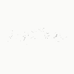 Cc1ccc(-c2nc(CCOc3cccc4c3CCC=C4CCC(N)=O)c(C)o2)cc1